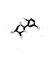 CC(C)(C)c1c[nH]c(-c2cc(Cl)ccc2F)nc1=O